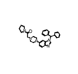 O=C(CN1CCN(c2ccc3ncn(C(c4ccccc4)c4ccccc4)c3c2)CC1)N1CCCC1